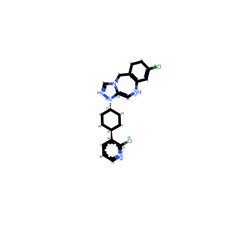 ClC1=CC2=C(CC1)CN1C=NN([C@H]3CC[C@H](c4cccnc4Cl)CC3)C1=CN2